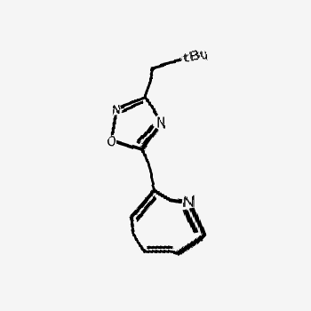 CC(C)(C)Cc1noc(-c2ccccn2)n1